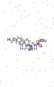 Cc1ccc2c3c([nH]c2c1)C(CC(C)C)N(C(=O)CNC(=O)OC(C)(C)C)CC3